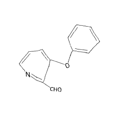 O=Cc1ncccc1Oc1ccccc1